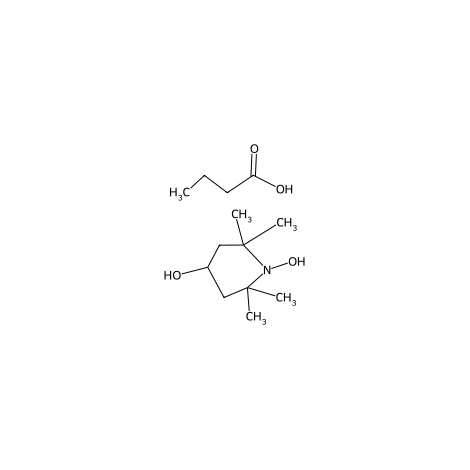 CC1(C)CC(O)CC(C)(C)N1O.CCCC(=O)O